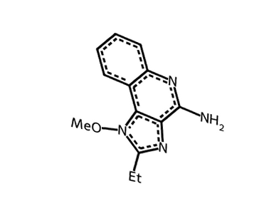 CCc1nc2c(N)nc3ccccc3c2n1OC